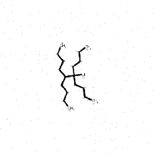 CCCCC(CCCC)C(Cl)(CCCC)CCCC